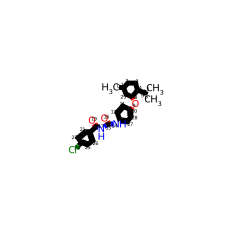 CC1CCC(C(C)C)C(Oc2ccc(NC(=O)NC(=O)c3ccc(Cl)cc3)cc2)C1